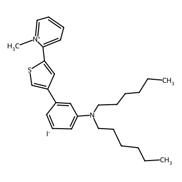 CCCCCCN(CCCCCC)c1cccc(-c2csc(-c3cccc[n+]3C)c2)c1.[I-]